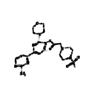 CS(=O)(=O)N1CCN(Cc2cc3cc(-c4ccnc(N)n4)nc(N4CCOCC4)c3s2)CC1